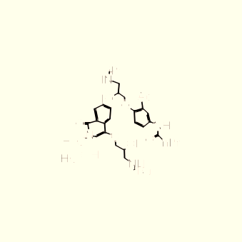 CCCC(=O)Nc1ccc(OCC(O)CNC(C)C)c(C(C)=O)c1.Cl.Cl.Cn1cc(OCC(O)CNC(C)(C)C)c2ccccc2c1=O